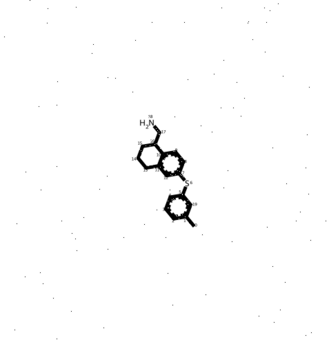 Cc1cccc(Sc2ccc3c(c2)CCCC3CN)c1